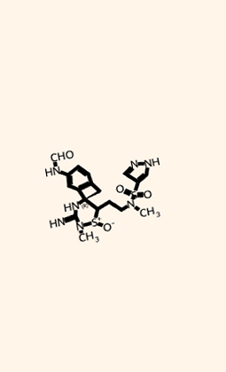 CN1C(=N)N[C@@]2(Cc3ccc(NC=O)cc32)C(CCN(C)S(=O)(=O)c2cn[nH]c2)[S+]1[O-]